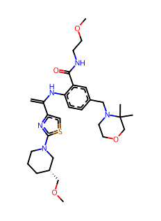 C=C(Nc1ccc(CN2CCOCC2(C)C)cc1C(=O)NCCOC)c1csc(N2CCC[C@@H](COC)C2)n1